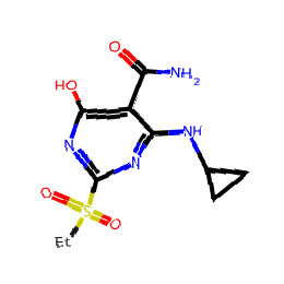 CCS(=O)(=O)c1nc(O)c(C(N)=O)c(NC2CC2)n1